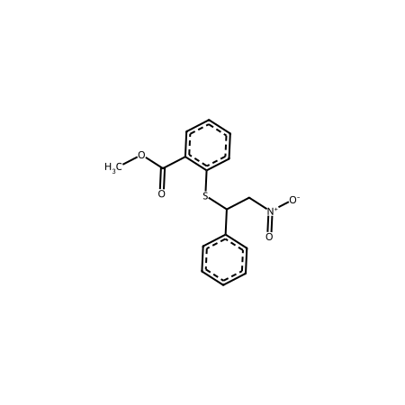 COC(=O)c1ccccc1SC(C[N+](=O)[O-])c1ccccc1